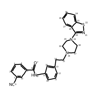 N#Cc1cccc(C(=O)Nc2cccc(CCN3CCN(c4nsc5ccccc45)CC3)c2)c1